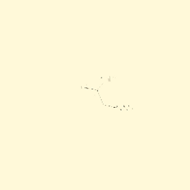 [C]NCC(CC)CCC